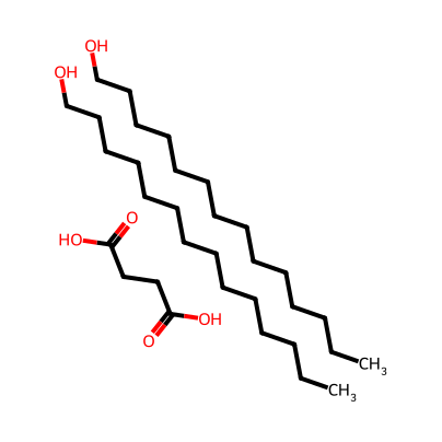 CCCCCCCCCCCCCCO.CCCCCCCCCCCCCCO.O=C(O)CCC(=O)O